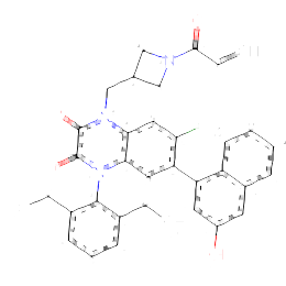 C=CC(=O)N1CC(Cn2c(=O)c(=O)n(-c3c(CC)cccc3CC)c3cc(-c4cc(O)cc5ccccc45)c(Cl)cc32)C1